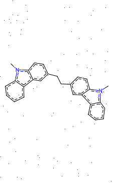 Cn1c2ccccc2c2cc(CCc3ccc4c(c3)c3ccccc3n4C)ccc21